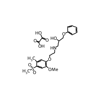 COc1cc(S(C)(=O)=O)c(C)cc1OCCNCC(O)COc1ccccc1.O=C(O)C(=O)O